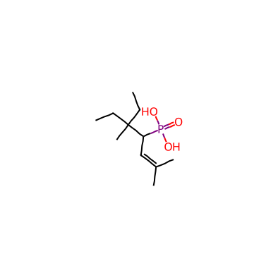 CCC(C)(CC)C(C=C(C)C)P(=O)(O)O